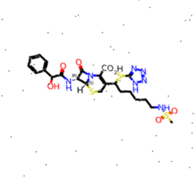 CS(=O)(=O)NCCCCCC(Sc1nnn[nH]1)C1=C(C(=O)O)N2C(=O)[C@@H](NC(=O)C(O)c3ccccc3)[C@@H]2SC1